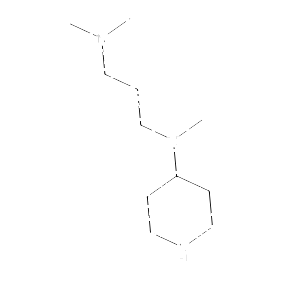 CN(C)CCCN(C)C1CCNCC1